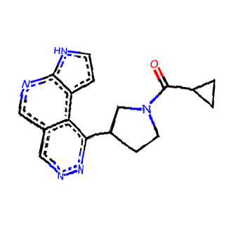 O=C(C1CC1)N1CCC(c2nncc3cnc4[nH]ccc4c23)C1